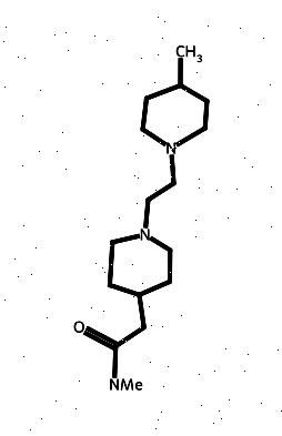 CNC(=O)CC1CCN(CCN2CCC(C)CC2)CC1